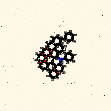 c1ccc(-c2cccc(-c3ccccc3)c2B2c3ccccc3N(c3ccccc3)c3c2c(-c2ccccc2)c2ccc4ccc(-c5ccccc5)c5ccc3c2c45)cc1